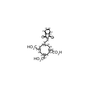 O=C(O)CN1CCN(CCN2C(=O)c3ccccc3C2=O)CCN(CC(=O)O)CCN(CC(=O)O)CC1